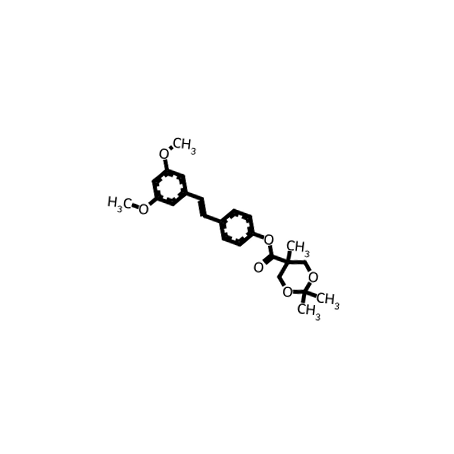 COc1cc(/C=C/c2ccc(OC(=O)C3(C)COC(C)(C)OC3)cc2)cc(OC)c1